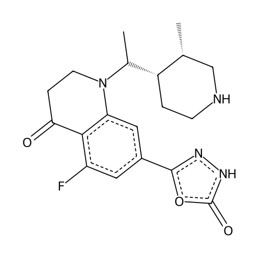 CC([C@H]1CCNC[C@H]1C)N1CCC(=O)c2c(F)cc(-c3n[nH]c(=O)o3)cc21